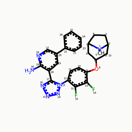 CN1C2CCC1CC(Oc1ccc(-n3nnnc3-c3cc(-c4ccccc4)cnc3N)c(F)c1F)C2